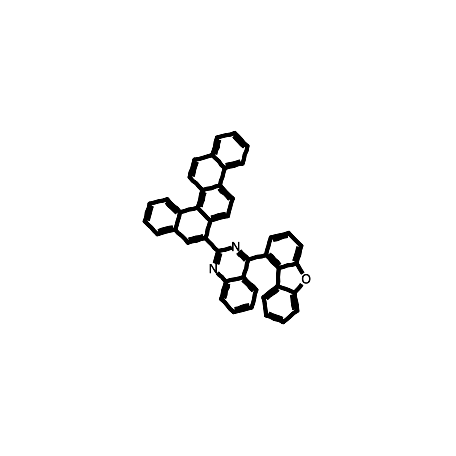 c1ccc2c(c1)ccc1c2ccc2c(-c3nc(-c4cccc5oc6ccccc6c45)c4ccccc4n3)cc3ccccc3c21